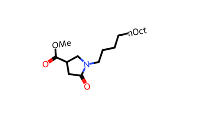 CCCCCCCCCCCCN1CC(C(=O)OC)CC1=O